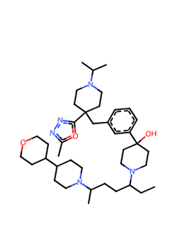 CCC(CCC(C)N1CCC(C2CCOCC2)CC1)N1CCC(O)(c2cccc(CC3(c4nnc(C)o4)CCN(C(C)C)CC3)c2)CC1